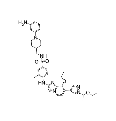 CCOc1c(-c2cnn(C(C)OCC)c2)ccn2nc(Nc3ccc(S(=O)(=O)NCC4CCN(c5cccc(N)c5)CC4)cc3C)nc12